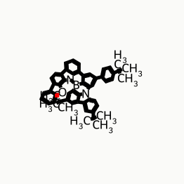 CC(C)(C)c1ccc(-c2cc3c4c(c2)-n2c5ccc(C(C)(C)C)cc5c5cc(C(C)(C)C)cc(c52)B4n2c4c-3cccc4c3ccc4c5ccccc5oc4c32)cc1